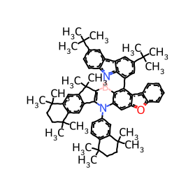 CC(C)(C)c1ccc2c(c1)c1cc(C(C)(C)C)cc3c1n2B1C2=C(c4cc5c(cc4C2(C)C)C(C)(C)CCC5(C)C)N(c2ccc4c(c2)C(C)(C)CCC4(C)C)c2cc4oc5ccccc5c4c-3c21